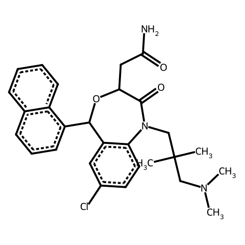 CN(C)CC(C)(C)CN1C(=O)C(CC(N)=O)OC(c2cccc3ccccc23)c2cc(Cl)ccc21